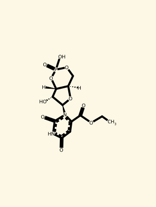 CCOC(=O)c1cc(=O)[nH]c(=O)n1[C@@H]1O[C@@H]2COP(=O)(O)O[C@H]2[C@H]1O